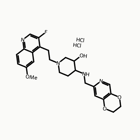 COc1ccc2ncc(F)c(CCN3CCC(NCc4cc5c(cn4)OCCO5)C(O)C3)c2c1.Cl.Cl